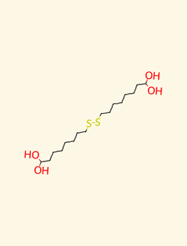 OC(O)CCCCCCCSSCCCCCCCC(O)O